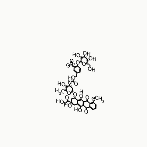 COc1cccc2c1C(=O)c1c(O)c3c(c(O)c1C2=O)C[C@@](O)(C(=O)CO)C[C@@H]3O[C@H]1C[C@H](NC(=O)OCc2ccc(O[C@@H]3O[C@H](CO)[C@@H](O)[C@H](O)[C@H]3O)c([N+](=O)[O-])c2)[C@H](O)[C@H](C)O1